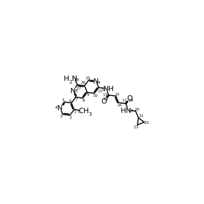 Cc1ccncc1-c1cc2cc(NC(=O)/C=C/C(=O)NCC3CC3)ncc2c(N)n1